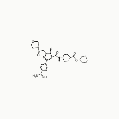 N=C(N)c1ccc(-c2cc(C(=O)N[C@H]3CC[C@H](C(=O)OC4CCCCC4)CC3)c(=O)n(CC(=O)N3CCOCC3)n2)cc1